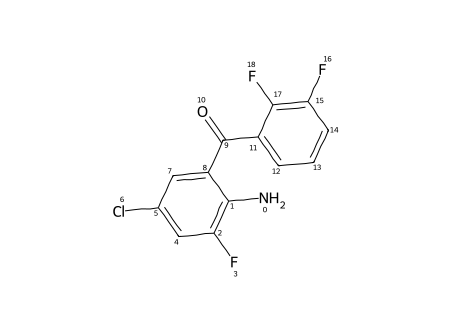 Nc1c(F)cc(Cl)cc1C(=O)c1cccc(F)c1F